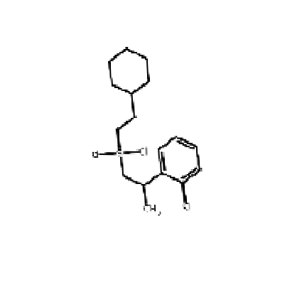 CC(C[Si](Cl)(Cl)CCC1CCCCC1)c1ccccc1Cl